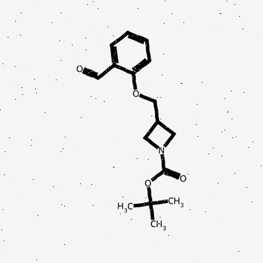 CC(C)(C)OC(=O)N1CC(COc2ccccc2C=O)C1